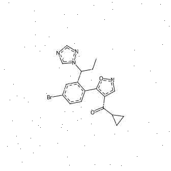 CCC(c1cc(Br)ccc1-c1oncc1C(=O)C1CC1)n1cncn1